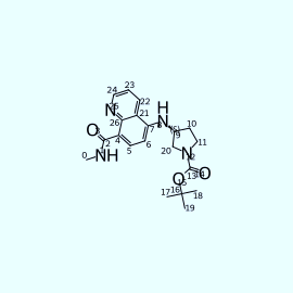 CNC(=O)c1ccc(N[C@H]2CCN(C(=O)OC(C)(C)C)C2)c2cccnc12